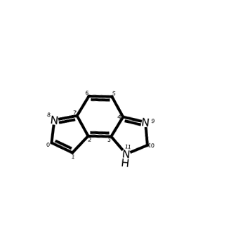 C1=Cc2c3c(ccc2=N1)=NCN3